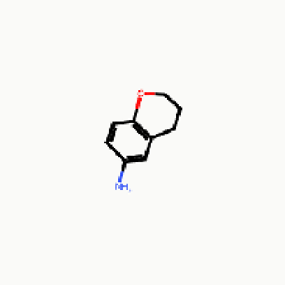 Nc1ccc2c(c1)CC[CH]O2